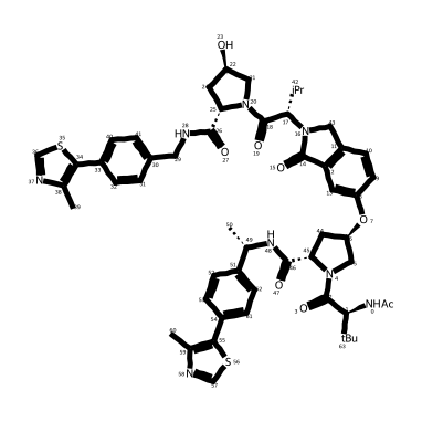 CC(=O)N[C@H](C(=O)N1C[C@H](Oc2ccc3c(c2)C(=O)N([C@H](C(=O)N2C[C@H](O)C[C@H]2C(=O)NCc2ccc(-c4scnc4C)cc2)C(C)C)C3)C[C@H]1C(=O)N[C@@H](C)c1ccc(-c2scnc2C)cc1)C(C)(C)C